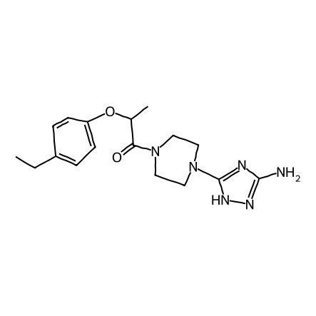 CCc1ccc(OC(C)C(=O)N2CCN(c3nc(N)n[nH]3)CC2)cc1